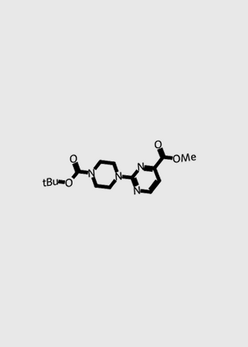 COC(=O)c1ccnc(N2CCN(C(=O)OC(C)(C)C)CC2)n1